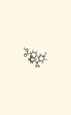 COC(=O)c1cccc2c(C3(c4ccc(C)cc4)CC3)nnn12